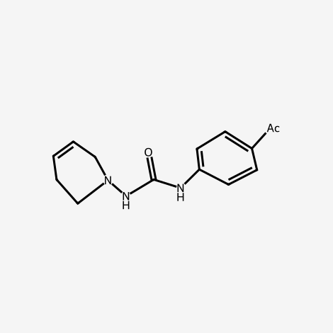 CC(=O)c1ccc(NC(=O)NN2CC=CCC2)cc1